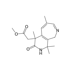 COC(=O)CC1(C)C(=O)NC(C)(C)C2=C1C=C(C)C=NC2